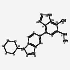 CCCNc1cc(-c2ccc3c(c2)ncn3C2CCCCC2)c2nc[nH]c2c1C#N